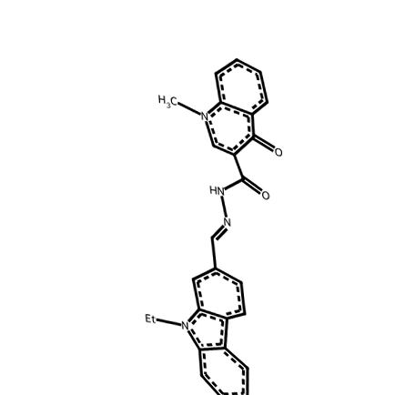 CCn1c2ccccc2c2ccc(/C=N/NC(=O)c3cn(C)c4ccccc4c3=O)cc21